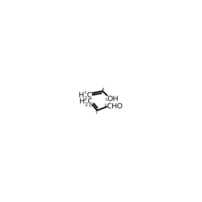 C=CC=O.C=CO